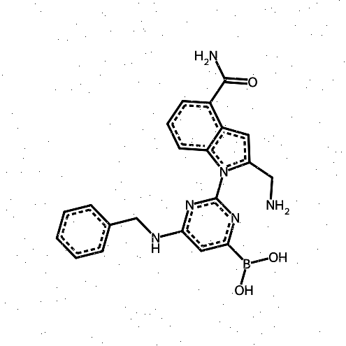 NCc1cc2c(C(N)=O)cccc2n1-c1nc(NCc2ccccc2)cc(B(O)O)n1